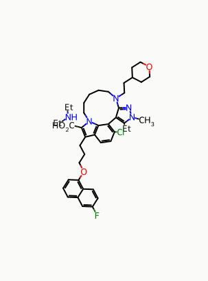 CCNCC.CCc1c2c(nn1C)N(CCC1CCOCC1)CCCCCn1c(C(=O)O)c(CCCOc3cccc4cc(F)ccc34)c3ccc(Cl)c-2c31